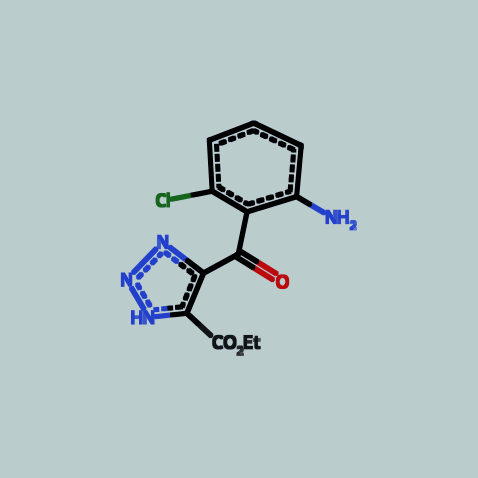 CCOC(=O)c1[nH]nnc1C(=O)c1c(N)cccc1Cl